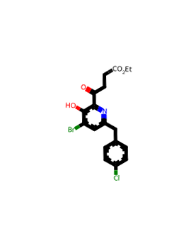 CCOC(=O)CCC(=O)c1nc(Cc2ccc(Cl)cc2)cc(Br)c1O